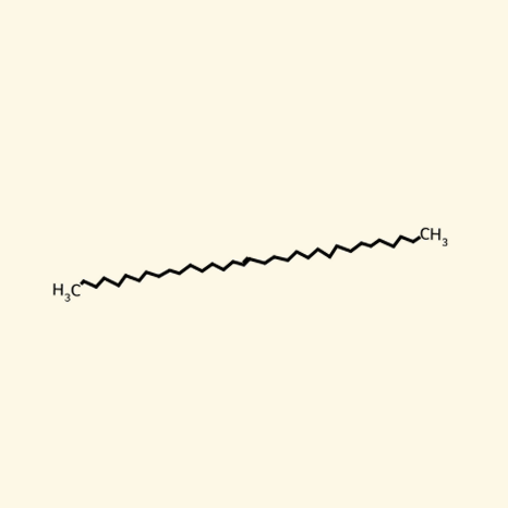 CCCCCCCCCCCCCCCCC=CCCCCCCCCCCCCCCCC